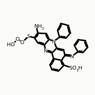 Nc1cc2c(cc1SOOO)nc1c3cccc(S(=O)(=O)O)c3/c(=N/c3ccccc3)cc-1n2-c1ccccc1